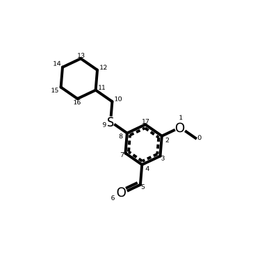 COc1cc(C=O)cc(SCC2CCCCC2)c1